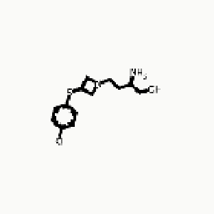 NC(CO)CCN1CC(Sc2ccc(Cl)cc2)C1